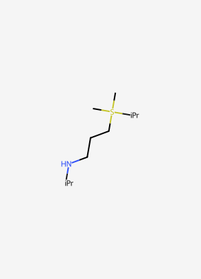 CC(C)NCCCS(C)(C)C(C)C